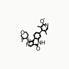 COc1ncc(C)c(-c2ccc3c(c2)[nH]c(=O)c2cnn([C@H]4CCOC[C@@H]4C)c23)c1C